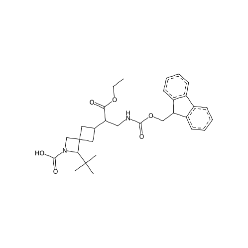 CCOC(=O)C(CNC(=O)OCC1c2ccccc2-c2ccccc21)C1CC2(C1)CN(C(=O)O)C2C(C)(C)C